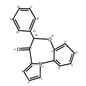 O=C1c2cccn2-c2ccccc2OC1c1ccccc1